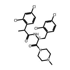 CC(C(=O)N[C@@H](Cc1ccc(Cl)cc1Cl)C(=O)N1CCN(C)CC1)c1ccc(Cl)cc1Cl